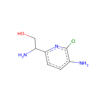 Nc1ccc(C(N)CO)nc1Cl